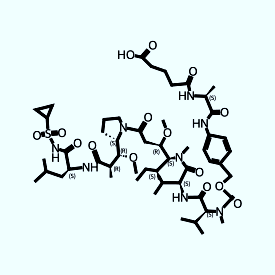 CC[C@H](C)[C@@H]([C@@H](CC(=O)N1CCC[C@H]1[C@H](OC)[C@@H](C)C(=O)N[C@@H](CC(C)C)C(=O)NS(=O)(=O)C1CC1)OC)N(C)C(=O)[C@@H](NC(=O)[C@H](C(C)C)N(C)C(=O)OCc1ccc(NC(=O)[C@H](C)NC(=O)CCCC(=O)O)cc1)C(C)C